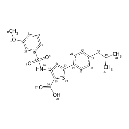 COc1cccc(S(=O)(=O)Nc2cc(-c3ccc(CC(C)C)cc3)sc2C(=O)O)c1